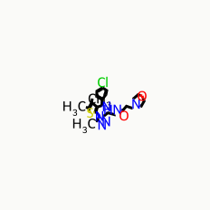 Cc1sc2c(c1C)C(c1ccc(Cl)cc1)=NC(CNC(=O)CCN1CCOCC1)c1nnc(C)n1-2